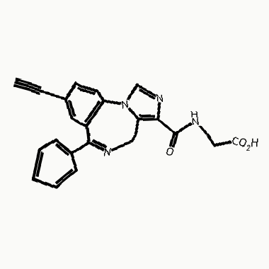 C#Cc1ccc2c(c1)C(c1ccccc1)=NCc1c(C(=O)NCC(=O)O)ncn1-2